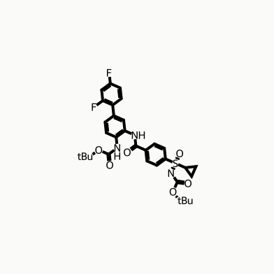 CC(C)(C)OC(=O)N=S(=O)(c1ccc(C(=O)Nc2cc(-c3ccc(F)cc3F)ccc2NC(=O)OC(C)(C)C)cc1)C1CC1